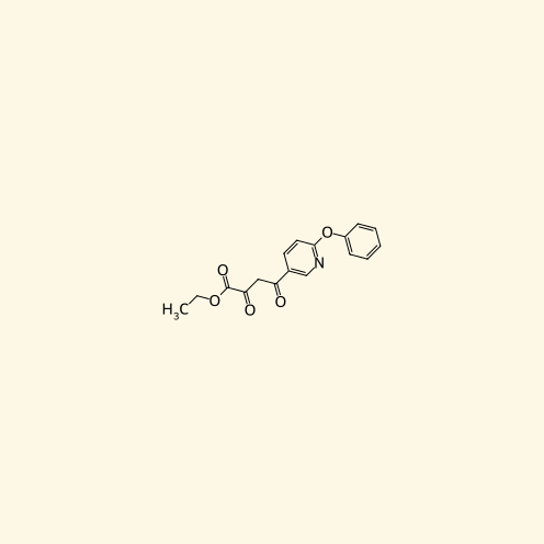 CCOC(=O)C(=O)CC(=O)c1ccc(Oc2ccccc2)nc1